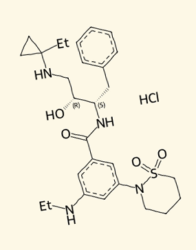 CCNc1cc(C(=O)N[C@@H](Cc2ccccc2)[C@H](O)CNC2(CC)CC2)cc(N2CCCCS2(=O)=O)c1.Cl